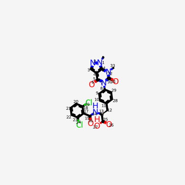 Cn1ncc2c(=O)n(-c3ccc(C[C@H](NC(=O)c4c(Cl)cccc4Cl)C(=O)O)cc3)c(=O)n(C)c21